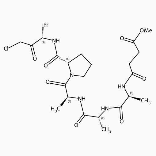 COC(=O)CCC(=O)N[C@@H](C)C(=O)N[C@H](C)C(=O)N[C@@H](C)C(=O)N1CCC[C@H]1C(=O)N[C@H](C(=O)CCl)C(C)C